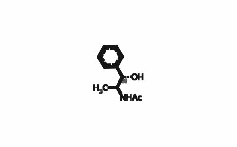 CC(=O)NC(C)[C@@H](O)c1ccccc1